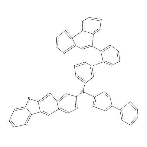 c1ccc(-c2ccc(N(c3cccc(-c4ccccc4-c4cc5ccccc5c5ccccc45)c3)c3ccc4cc5c(cc4c3)sc3ccccc35)cc2)cc1